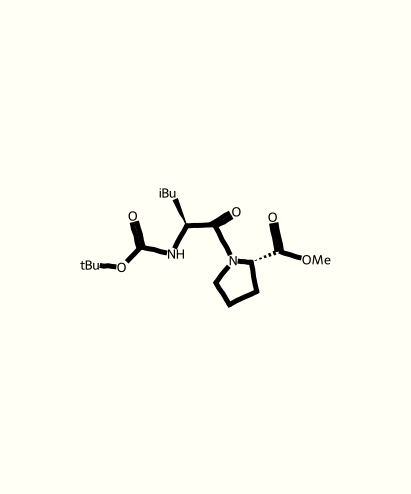 CCC(C)[C@H](NC(=O)OC(C)(C)C)C(=O)N1CCC[C@H]1C(=O)OC